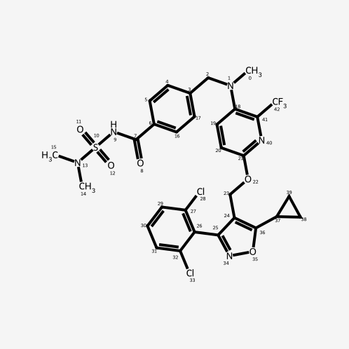 CN(Cc1ccc(C(=O)NS(=O)(=O)N(C)C)cc1)c1ccc(OCc2c(-c3c(Cl)cccc3Cl)noc2C2CC2)nc1C(F)(F)F